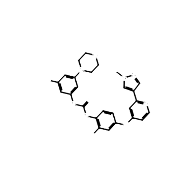 Cn1cc(-c2cc(Oc3ccc(NC(=O)Nc4cc(N5CCOCC5)cc(C(F)(F)F)c4)c(F)c3)ccn2)cn1